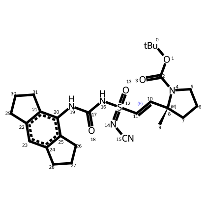 CC(C)(C)OC(=O)N1CCC[C@]1(C)/C=C/S(=O)(=NC#N)NC(=O)Nc1c2c(cc3c1CCC3)CCC2